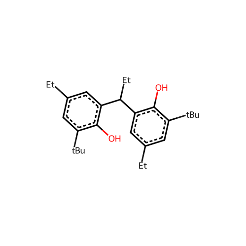 CCc1cc(C(CC)c2cc(CC)cc(C(C)(C)C)c2O)c(O)c(C(C)(C)C)c1